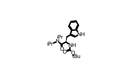 CC(C)N(C(=O)[C@@H](Cc1c[nH]c2ccccc12)NC(=O)OC(C)(C)C)C(C)C